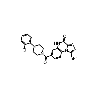 CCCc1nnc2c(=O)[nH]c3cc(C(=O)N4CCN(c5ccccc5Cl)CC4)ccc3n12